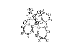 CCN1CC(=O)N([Si](c2ccccc2)(c2ccccc2)c2ccccc2)C1=O